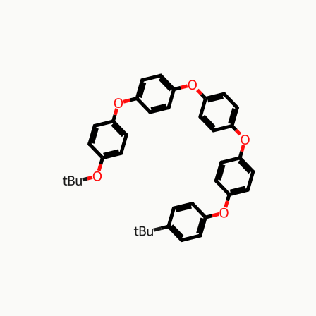 CC(C)(C)Oc1ccc(Oc2ccc(Oc3ccc(Oc4ccc(Oc5ccc(C(C)(C)C)cc5)cc4)cc3)cc2)cc1